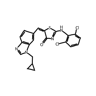 O=C1N=C(Nc2c(Cl)cccc2Cl)SC1=Cc1ccc2ncn(CC3CC3)c2c1